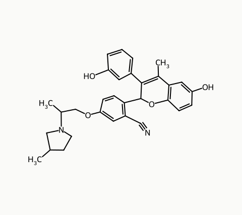 CC1=C(c2cccc(O)c2)C(c2ccc(OCC(C)N3CCC(C)C3)cc2C#N)Oc2ccc(O)cc21